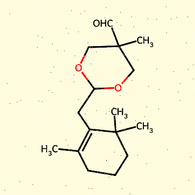 CC1=C(CC2OCC(C)(C=O)CO2)C(C)(C)CCC1